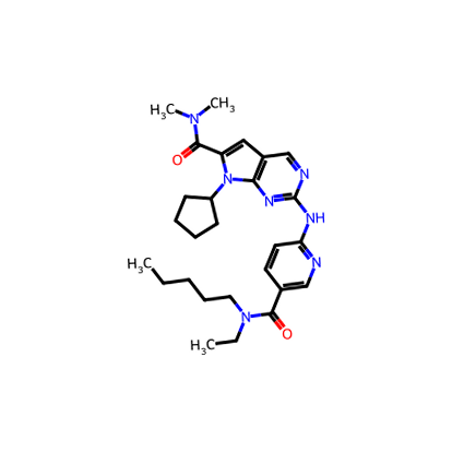 CCCCCN(CC)C(=O)c1ccc(Nc2ncc3cc(C(=O)N(C)C)n(C4CCCC4)c3n2)nc1